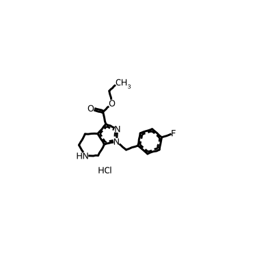 CCOC(=O)c1nn(Cc2ccc(F)cc2)c2c1CCNC2.Cl